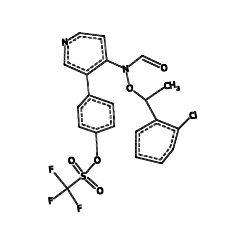 CC(ON(C=O)c1ccncc1-c1ccc(OS(=O)(=O)C(F)(F)F)cc1)c1ccccc1Cl